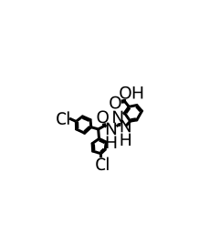 O=C(O)c1cccc2[nH]c(NC(=O)C(c3ccc(Cl)cc3)c3ccc(Cl)cc3)nc12